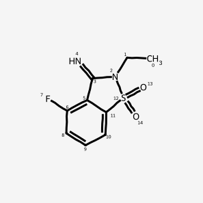 CCN1C(=N)c2c(F)cccc2S1(=O)=O